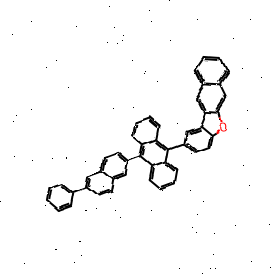 c1ccc(-c2ccc3cc(-c4c5ccccc5c(-c5ccc6oc7cc8ccccc8cc7c6c5)c5ccccc45)ccc3c2)cc1